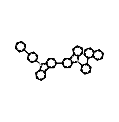 c1ccc(-c2ccc(-n3c4ccccc4c4cc(-c5ccc6c(c5)c5ccccc5n6-c5ccccc5-c5cccc6ccccc56)ccc43)cc2)cc1